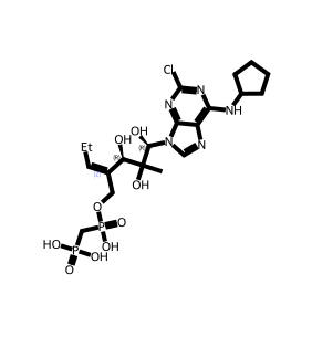 CC/C=C(/COP(=O)(O)CP(=O)(O)O)[C@@H](O)C(C)(O)[C@@H](O)n1cnc2c(NC3CCCC3)nc(Cl)nc21